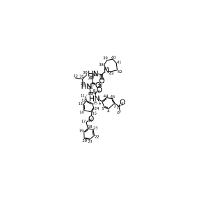 CC(=O)c1ccc(NC(=O)[C@H](Cc2ccc(OCc3ccccc3)cc2)NC(=O)[C@H](CC(C)C)NC(=O)N2CCCCCC2)cc1